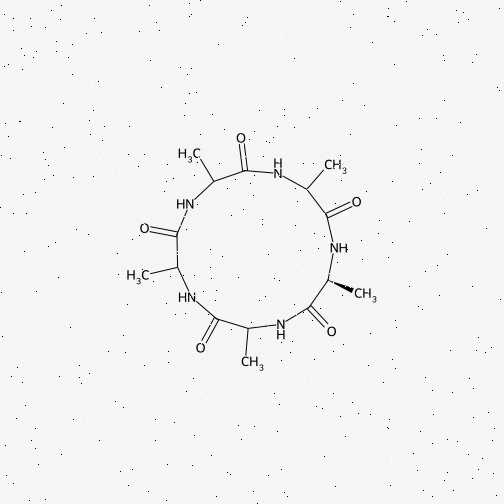 CC1NC(=O)C(C)NC(=O)C(C)NC(=O)[C@H](C)NC(=O)C(C)NC1=O